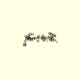 Cc1ncsc1-c1ccc(CNC(=O)[C@@H]2C[C@@H](O)CN2C(=O)[C@@H](NC(=O)CCOCCNC(=O)CC[C@H](N)C(=O)NCc2ccc(-c3cnc(N)c(C(=O)Nc4cnccc4N4CCOCC4)n3)cc2)C(C)(C)C)cc1